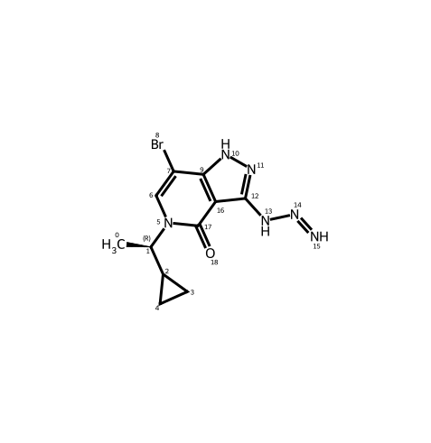 C[C@H](C1CC1)n1cc(Br)c2[nH]nc(NN=N)c2c1=O